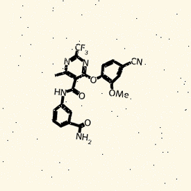 COc1cc(C#N)ccc1Oc1nc(C(F)(F)F)nc(C)c1C(=O)Nc1cccc(C(N)=O)c1